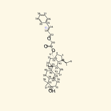 CC[C@@H]1CC[C@]2(COC(=O)COC/C=C/c3ccccc3)CC[C@]3(C)C(CCC4[C@@]5(C)CC[C@H](O)C(C)(C)C5CC[C@]43C)C12